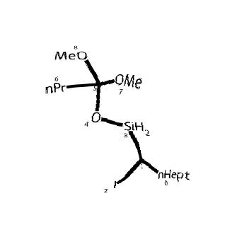 CCCCCCCC(I)[SiH2]OC(CCC)(OC)OC